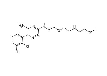 COCCNCCOCCNc1nnc(-c2cccc(Cl)c2Cl)c(N)n1